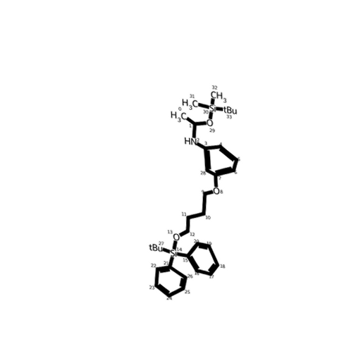 CC(Nc1cccc(OCCCCO[Si](c2ccccc2)(c2ccccc2)C(C)(C)C)c1)O[Si](C)(C)C(C)(C)C